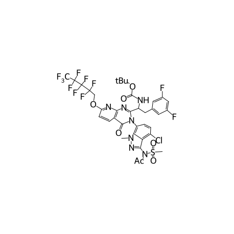 CC(=O)N(c1nn(C)c2c(-n3c(C(Cc4cc(F)cc(F)c4)NC(=O)OC(C)(C)C)nc4nc(OCC(F)(F)C(F)(F)C(F)(F)C(F)(F)F)ccc4c3=O)ccc(Cl)c12)S(C)(=O)=O